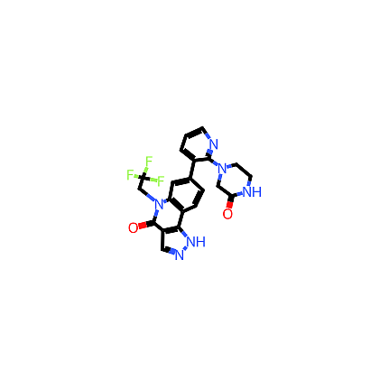 O=C1CN(c2ncccc2-c2ccc3c4[nH]ncc4c(=O)n(CC(F)(F)F)c3c2)CCN1